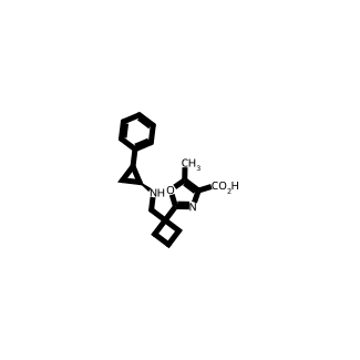 Cc1oc(C2(CN[C@H]3CC3c3ccccc3)CCC2)nc1C(=O)O